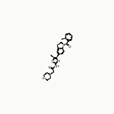 Cc1ccccc1C(=O)N1CCc2cc(-c3nc(NC(=O)CN4CCNCC4)sc3C)ccc21